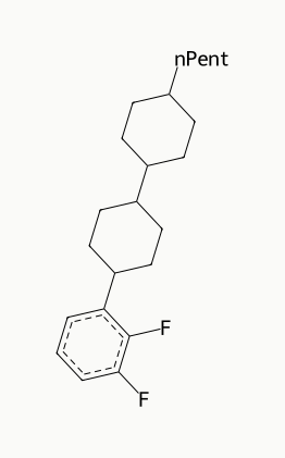 CCCCCC1CCC(C2CCC(c3cccc(F)c3F)CC2)CC1